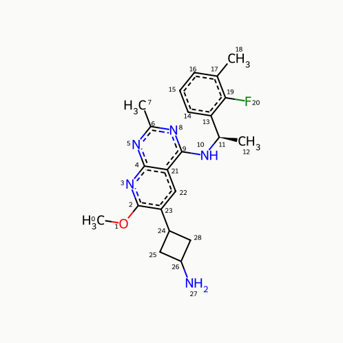 COc1nc2nc(C)nc(N[C@H](C)c3cccc(C)c3F)c2cc1C1CC(N)C1